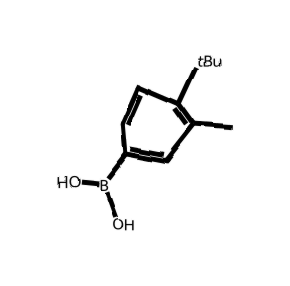 Cc1cc(B(O)O)ccc1C(C)(C)C